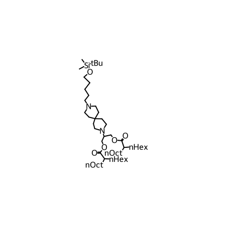 CCCCCCCCC(CCCCCC)C(=O)OCC(COC(=O)C(CCCCCC)CCCCCCCC)N1CCC2(CCN(CCCCCO[Si](C)(C)C(C)(C)C)CC2)CC1